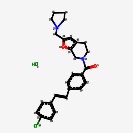 Cl.O=C(c1ccc(C=Cc2ccc(Cl)cc2)cc1)N1CCc2cc(CN3CCCC3)oc2C1